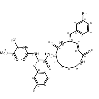 COC(=O)C(NC(=O)N[C@@H](Cc1cccc(C)c1)C(=O)N[C@H]1CCCCNC(=O)/C=C/[C@H](Cc2cccc(F)c2)NC1=O)C(C)C